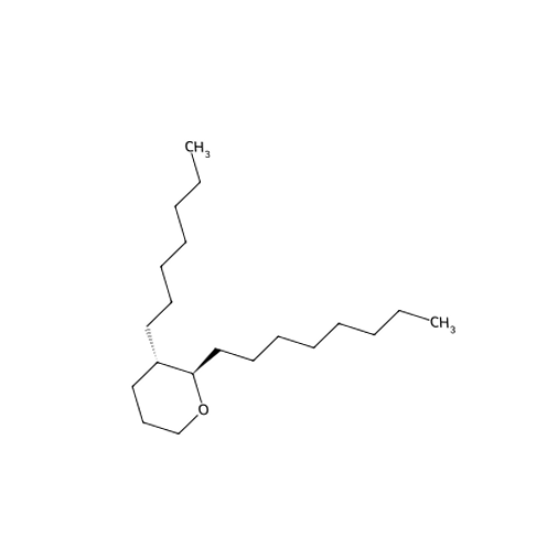 CCCCCCCC[C@H]1OCCC[C@@H]1CCCCCCC